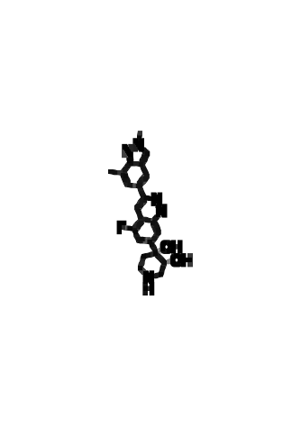 Cc1cc(-c2cc3c(F)cc([C@]4(O)CCNC[C@H]4O)cc3nn2)cc2cn(C)nc12